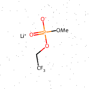 COP(=O)([O-])OCC(F)(F)F.[Li+]